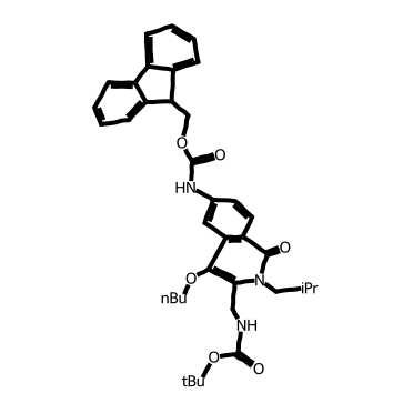 CCCCOc1c(CNC(=O)OC(C)(C)C)n(CC(C)C)c(=O)c2ccc(NC(=O)OCC3c4ccccc4-c4ccccc43)cc12